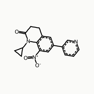 O=C1CCc2cc(-c3cccnc3)cc([N+](=O)[O-])c2N1C1CC1